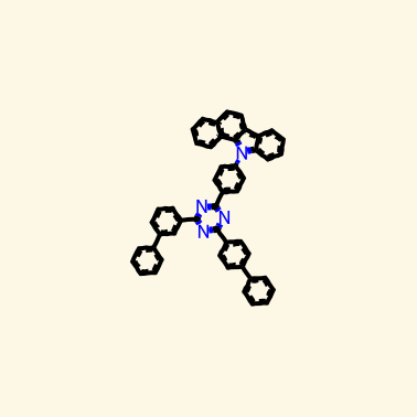 c1ccc(-c2ccc(-c3nc(-c4ccc(-n5c6ccccc6c6ccc7ccccc7c65)cc4)nc(-c4cccc(-c5ccccc5)c4)n3)cc2)cc1